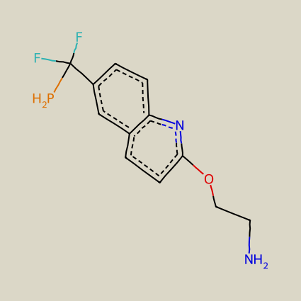 NCCOc1ccc2cc(C(F)(F)P)ccc2n1